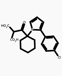 O=C(O)C(C(=O)O)C(=O)C1(n2cccc2-c2ccc(Cl)cc2)CCCCC1